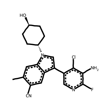 Cc1cc2c(cc1C#N)c(-c1cnc(F)c(N)c1Cl)cn2[C@H]1CC[C@H](O)CC1